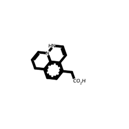 O=C(O)Cc1ccc2c3c1C=CNN3C=CC2